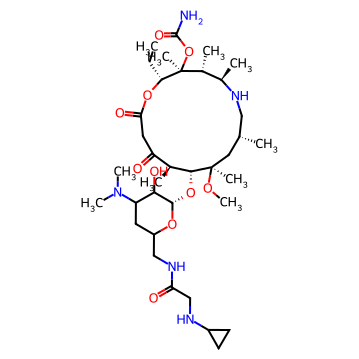 CC[C@H]1OC(=O)CC(=O)[C@H](C)[C@@H](O[C@@H]2OC(CNC(=O)CNC3CC3)CC(N(C)C)C2O)[C@](C)(OC)C[C@@H](C)CN[C@H](C)[C@@H](C)[C@]1(C)OC(N)=O